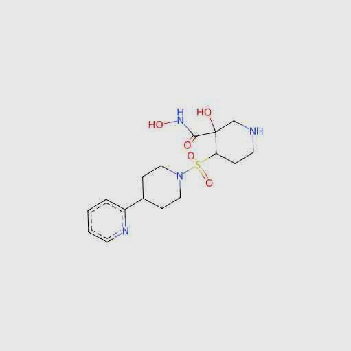 O=C(NO)C1(O)CNCCC1S(=O)(=O)N1CCC(c2ccccn2)CC1